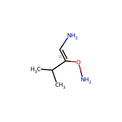 CC(C)/C(=C/N)ON